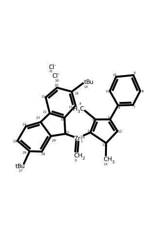 [CH2]=[Zr+2]([C]1=C(C)C(c2ccccc2)=CC1C)[CH]1c2cc(C(C)(C)C)ccc2-c2ccc(C(C)(C)C)cc21.[Cl-].[Cl-]